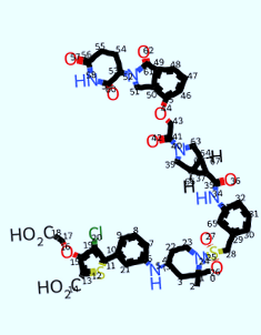 CC1(C)C[C@@H](Nc2cccc(-c3sc(C(=O)O)c(OCC(=O)O)c3Cl)c2)CCN1S(=O)(=O)Cc1cccc(NC(=O)C2[C@H]3CN(C(=O)COc4cccc5c4CN(C4CCC(=O)NC4=O)C5=O)C[C@@H]23)c1